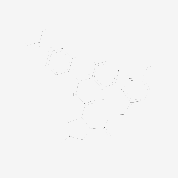 Cc1ccc(CCC(=O)N2CC(F)CC2C(=O)NC(c2ccccc2)c2ccc(C(C)C)cc2)nc1